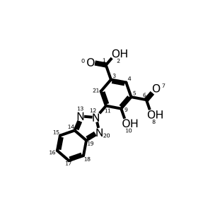 O=C(O)c1cc(C(=O)O)c(O)c(-n2nc3ccccc3n2)c1